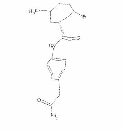 CC1CCC(C(C)C)[C@H](C(=O)Nc2ccc(CC(N)=O)cc2)C1